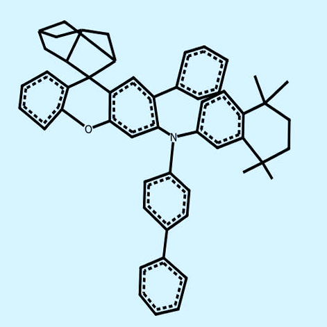 CC1(C)CCC(C)(C)c2cc(N(c3ccc(-c4ccccc4)cc3)c3cc4c(cc3-c3ccccc3)C3(c5ccccc5O4)C4CC5CC(C4)C3C5)ccc21